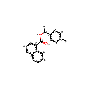 Cc1ccc(C(C)OC(=O)c2cccc3ccccc23)cc1